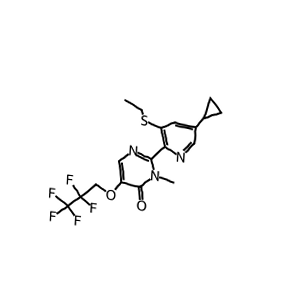 CCSc1cc(C2CC2)cnc1-c1ncc(OCC(F)(F)C(F)(F)F)c(=O)n1C